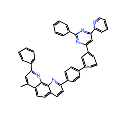 Cc1cc(-c2ccccc2)nc2c1ccc1ccc(-c3ccc(-c4cccc(-c5cc(-c6ccccn6)nc(-c6ccccc6)n5)c4)cc3)nc12